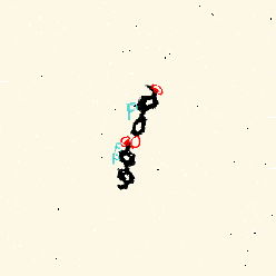 C=Cc1ccc(-c2ccc(C(=O)OC3CCC(c4ccc(C5CO5)cc4F)CC3)c(F)c2F)cc1